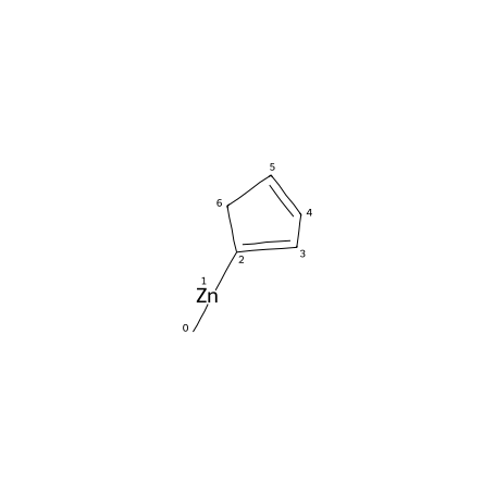 [CH3][Zn][C]1=CC=CC1